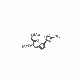 COCC(=O)N(Cc1ccc(-c2noc(C(F)(F)F)n2)s1)OC